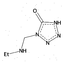 CCNCn1nn[nH]c1=O